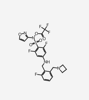 O=C(ON(c1ccon1)S(=O)(=O)c1c(F)cc(NCc2c(F)cccc2CN2CCC2)cc1F)C(F)(F)F